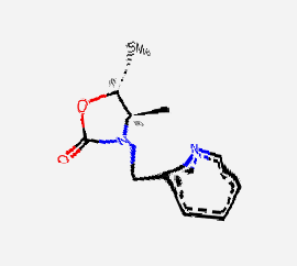 CS[C@H]1OC(=O)N(Cc2ccccn2)[C@@H]1C